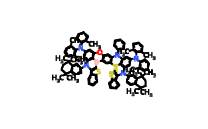 Cc1ccccc1N(c1cc2c3c(c1)N(c1ccc4c(c1)C(C)(C)CCC4(C)C)c1c(sc4ccccc14)B3c1cc3c(cc1O2)N(c1ccccc1)c1cc(N(c2ccccc2C)c2c(C)cccc2C)cc2c1[SH]3c1sc3ccccc3c1N2c1ccc2c(c1)C(C)(C)CCC2(C)C)c1c(C)cccc1C